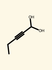 CCC#CC(O)O